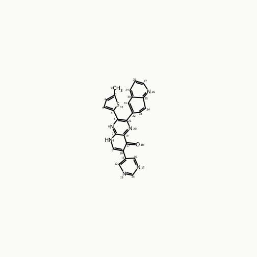 Cc1ccc(-c2nc3[nH]cc(-c4cncnc4)c(=O)c3nc2-c2ccc3ncccc3c2)s1